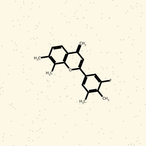 C=C1C=C(c2cc(C)c(C)c(F)c2)Oc2c1ccc(C)c2C